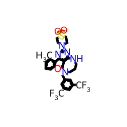 Cc1ccccc1-c1nc(N2CCS(=O)(=O)CC2)nc2c1C(=O)N(Cc1cc(C(F)(F)F)cc(C(F)(F)F)c1)CCCN2